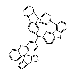 c1ccc(-c2cccc3sc4ccc(N(c5ccc6c(c5)Oc5ccccc5C65c6ccccc6-c6ccccc65)c5ccc6c(c5)sc5ccccc56)cc4c23)cc1